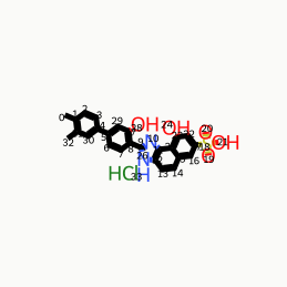 Cc1ccc(-c2ccc(-c3nc4c(ccc5cc(S(=O)(=O)O)cc(O)c54)[nH]3)c(O)c2)cc1C.Cl